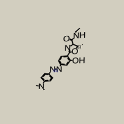 CCNC(=O)C1N=C(c2ccc(/N=N/c3ccc(N(C)C)cc3)cc2O)O[C@H]1C